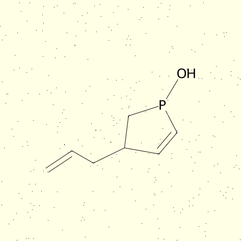 C=CCC1C=CP(O)C1